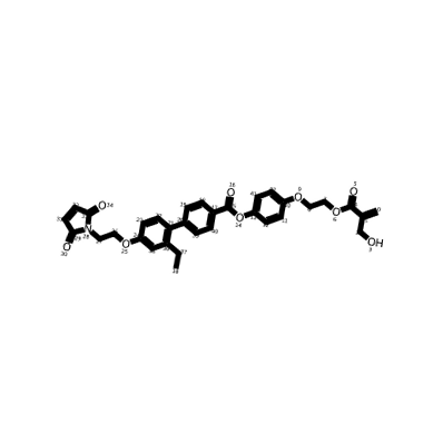 C=C(CO)C(=O)OCCOc1ccc(OC(=O)c2ccc(-c3ccc(OCCN4C(=O)C=CC4=O)cc3CC)cc2)cc1